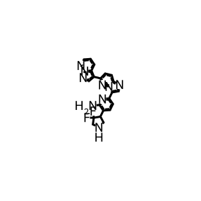 Nc1nc(-c2cnc3ccc(-c4cnn5ncccc45)nn23)ccc1C1CNCC1(F)F